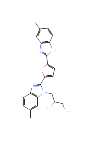 Cc1ccc2[nH]c(-c3ccc(-c4nc5ccc(C)cc5n4CC(O)CO)o3)nc2c1